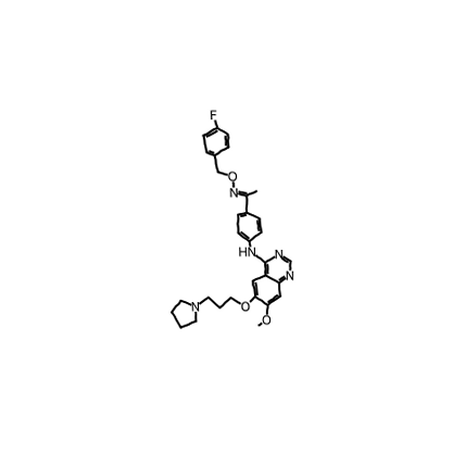 COc1cc2ncnc(Nc3ccc(C(C)=NOCc4ccc(F)cc4)cc3)c2cc1OCCCN1CCCC1